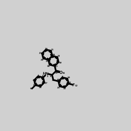 Cc1ccc(NC(Cc2ccc(F)cc2)C(=O)c2ccc3ccccc3c2)cc1